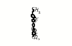 CCCc1ccc(-c2ccc(-c3ccc(C(=O)Oc4ccc(C)c(F)c4F)cc3)c(F)c2F)cc1